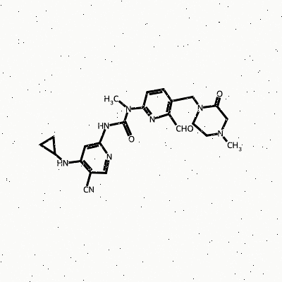 CN1CCN(Cc2ccc(N(C)C(=O)Nc3cc(NC4CC4)c(C#N)cn3)nc2C=O)C(=O)C1